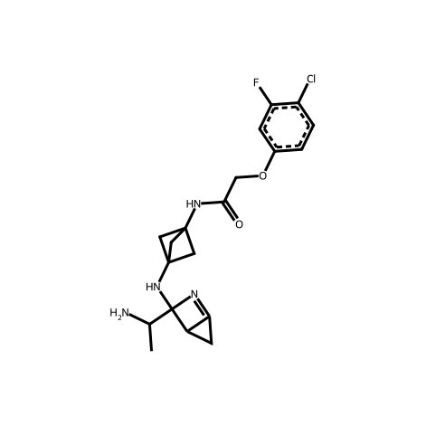 CC(N)C1(NC23CC(NC(=O)COc4ccc(Cl)c(F)c4)(C2)C3)N=C2CC21